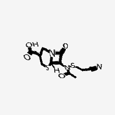 CC(=O)N(SCC#N)C1C(=O)N2CC(C(=O)O)CS[C@@H]12